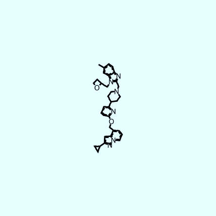 Cc1ccc2nc(CN3CCC(c4cccc(OCc5cccn6nc(C7CC7)cc56)n4)CC3)n(CC3CCO3)c2c1